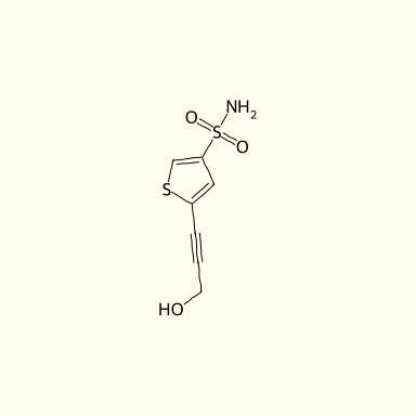 NS(=O)(=O)c1csc(C#CCO)c1